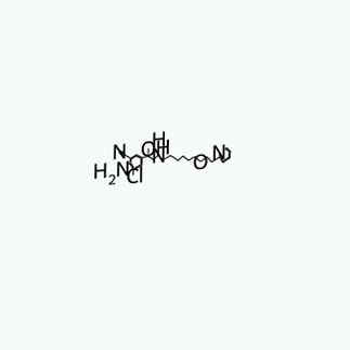 N#Cc1cc([C@@H](O)CNCCCCCCOCCc2ccccn2)cc(Cl)c1N